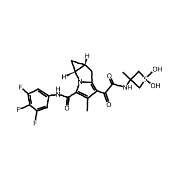 Cc1c(C(=O)C(=O)NC2(C)CS(O)(O)C2)c2n(c1C(=O)Nc1cc(F)c(F)c(F)c1)[C@@H]1C[C@@H]1C2